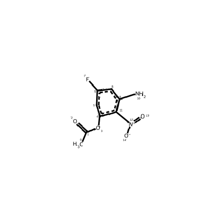 CC(=O)Oc1cc(F)cc(N)c1[N+](=O)[O-]